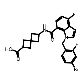 O=C(NC1CC2(C1)CC(C(=O)O)C2)c1ccc(F)c2ccn(Cc3ccc(Br)cc3F)c12